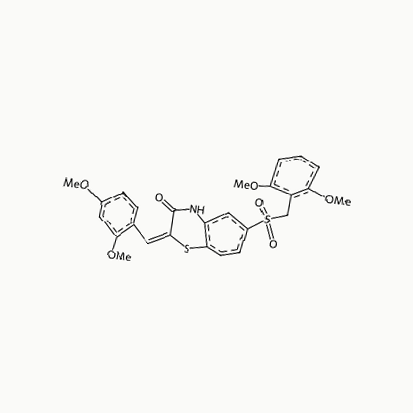 COc1ccc(/C=C2/Sc3ccc(S(=O)(=O)Cc4c(OC)cccc4OC)cc3NC2=O)c(OC)c1